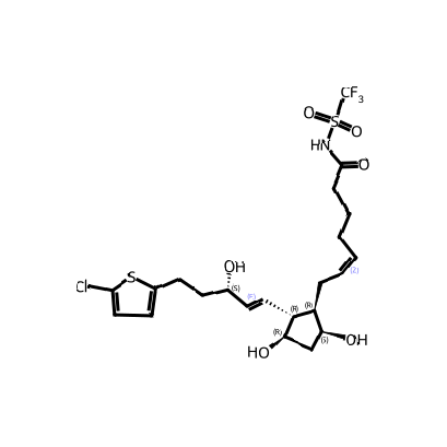 O=C(CCC/C=C\C[C@@H]1[C@@H](/C=C/[C@@H](O)CCc2ccc(Cl)s2)[C@H](O)C[C@@H]1O)NS(=O)(=O)C(F)(F)F